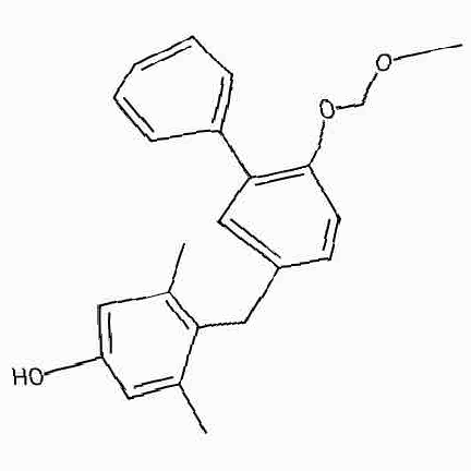 COCOc1ccc(Cc2c(C)cc(O)cc2C)cc1-c1ccccc1